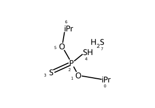 CC(C)OP(=S)(S)OC(C)C.S